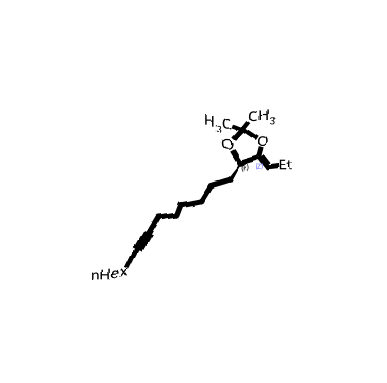 CC/C=C1\OC(C)(C)O[C@@H]1CCCCCCC#CCCCCCC